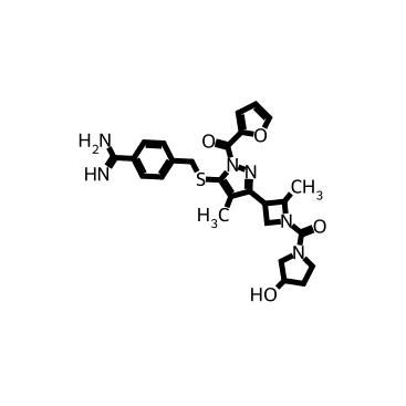 Cc1c(C2CN(C(=O)N3CCC(O)C3)C2C)nn(C(=O)c2ccco2)c1SCc1ccc(C(=N)N)cc1